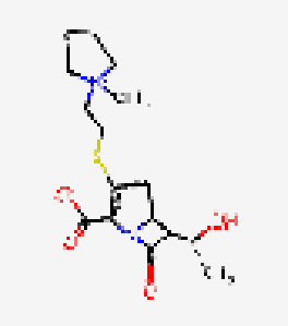 C[C@@H](O)C1C(=O)N2C(C(=O)[O-])=C(SCC[N+]3(C)CCCC3)CC12